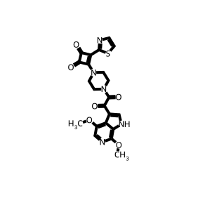 COc1ncc(OC)c2c(C(=O)C(=O)N3CCN(c4c(-c5nccs5)c(=O)c4=O)CC3)c[nH]c12